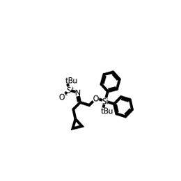 CC(C)(C)[S+]([O-])N=C(CO[Si](c1ccccc1)(c1ccccc1)C(C)(C)C)CC1CC1